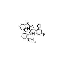 Cc1cccc(Cl)c1Nc1c(-c2ccc(F)cc2Cl)nc2sc3ccccc3n12